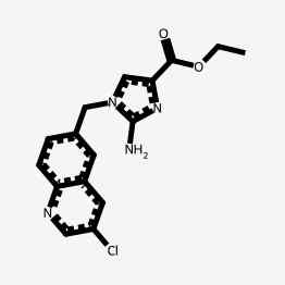 CCOC(=O)c1cn(Cc2ccc3ncc(Cl)cc3c2)c(N)n1